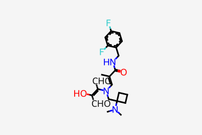 C/C(=C\N(CC1(N(C)C)CCC1)/C(C=O)=C(/O)C=O)C(=O)NCc1ccc(F)cc1F